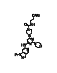 COCCNC(=O)N1CCN(c2cc(Nc3cc4c(cn3)cnn4C(C)C)nc(N3CCOCC3)n2)CC1